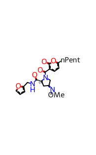 CCCCCc1ccc(C(=O)N2CC(=NOC)C[C@H]2C(=O)NCc2ccco2)c(=O)o1